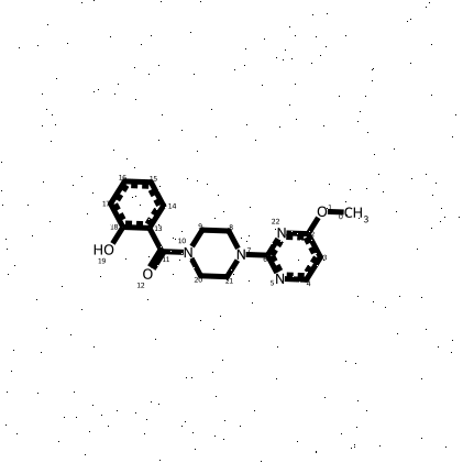 COc1ccnc(N2CCN(C(=O)c3ccccc3O)CC2)n1